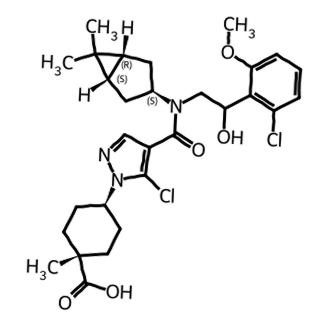 COc1cccc(Cl)c1C(O)CN(C(=O)c1cnn([C@H]2CC[C@](C)(C(=O)O)CC2)c1Cl)[C@@H]1C[C@@H]2[C@H](C1)C2(C)C